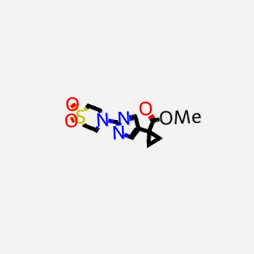 COC(=O)C1(c2cnc(N3CCS(=O)(=O)CC3)nc2)CC1